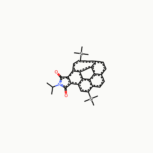 CC(C)n1c(=O)c2c3cc([Si](C)(C)C)c4ccc5ccc6c([Si](C)(C)C)cc(c2c1=O)c1c6c5c4c31